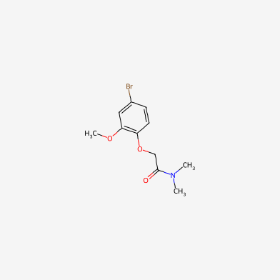 COc1cc(Br)ccc1OCC(=O)N(C)C